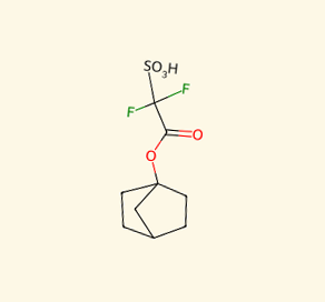 O=C(OC12CCC(CC1)C2)C(F)(F)S(=O)(=O)O